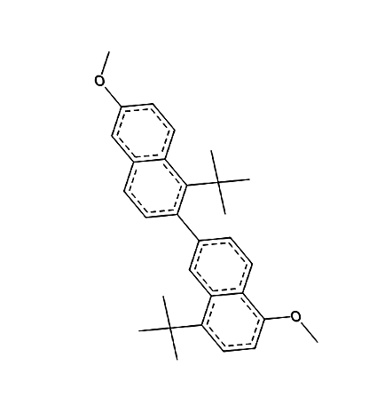 COc1ccc2c(C(C)(C)C)c(-c3ccc4c(OC)ccc(C(C)(C)C)c4c3)ccc2c1